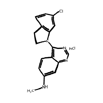 CNc1ccc2c(N3CCc4ccc(Cl)cc43)ncnc2c1.Cl